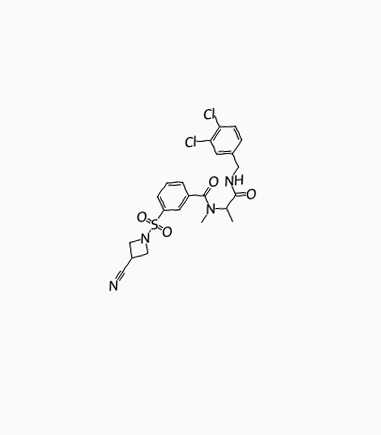 CC(C(=O)NCc1ccc(Cl)c(Cl)c1)N(C)C(=O)c1cccc(S(=O)(=O)N2CC(C#N)C2)c1